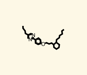 CCCCCCC1CCCCC1CCCOc1ccc(-c2ncc(CCCC)cn2)cc1